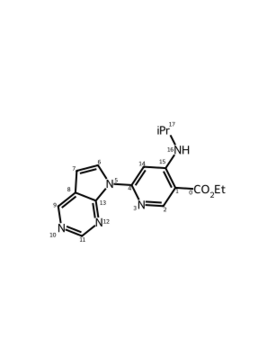 CCOC(=O)c1cnc(-n2ccc3cncnc32)cc1NC(C)C